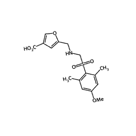 COc1cc(C)c(S(=O)(=O)CNCc2cc(C(=O)O)co2)c(C)c1